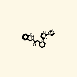 O=C(CC1CCCCN1c1ccnc(-n2ccnc2)n1)NCc1ccccc1F